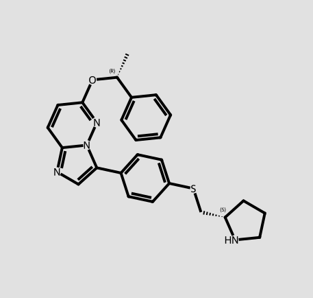 C[C@@H](Oc1ccc2ncc(-c3ccc(SC[C@@H]4CCCN4)cc3)n2n1)c1ccccc1